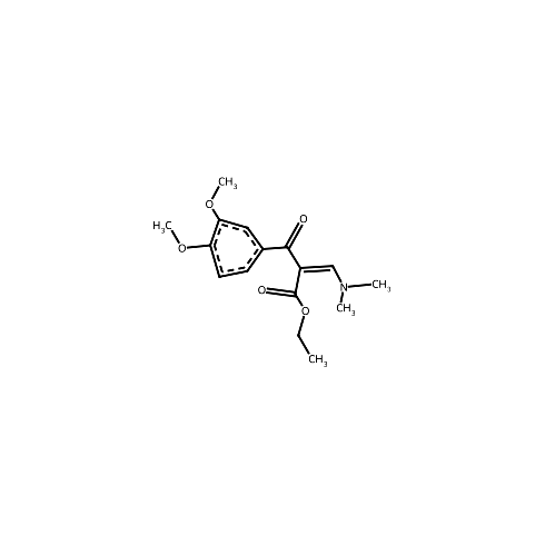 CCOC(=O)C(=CN(C)C)C(=O)c1ccc(OC)c(OC)c1